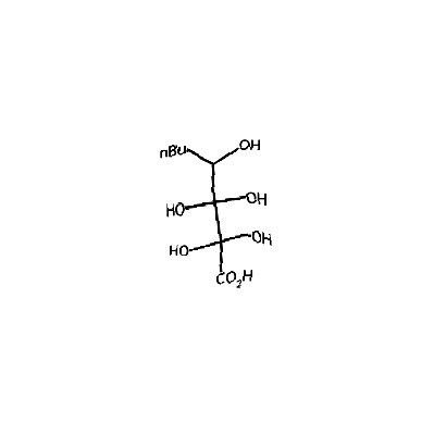 CCCCC(O)C(O)(O)C(O)(O)C(=O)O